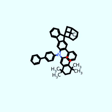 CC1(C)CCC(C)(C)c2cc(N(c3ccc(-c4ccccc4)cc3)c3cc4c(cc3-c3ccccc3)C3(c5ccccc5-4)C4CC5CC6CC3C64C5)ccc21